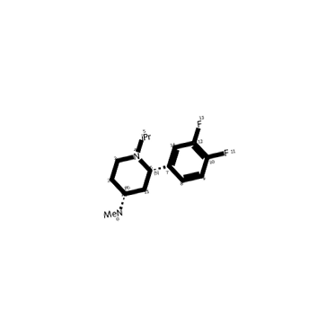 CN[C@@H]1CCN(C(C)C)[C@H](c2ccc(F)c(F)c2)C1